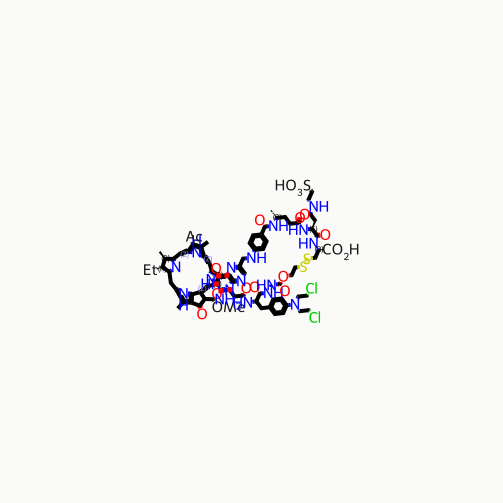 CC[C@H]1C2Cc3[nH]c4c(c3C)C(=O)C(C(=O)OC)/C4=C3N=C(/C=c4\[nH]/c(c(C(C)=O)c4C)=C\C(=N2)[C@@H]1C)[C@@H](C)[C@@H]/3CCCC(=O)NC(Cc1ccc(N(CCCl)CCCl)cc1)C(=O)NNC(=O)OCCSSC[C@H](NC(=O)[C@H](CC(=O)NCCS(=O)(=O)O)NC(=O)CC[C@@H](C)NC(=O)c1ccc(NCc2cnc3nc(N)[nH]c(=O)c3n2)cc1)C(=O)O